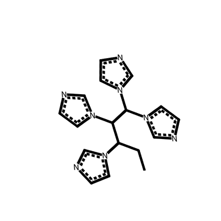 CCC(C(C(n1ccnc1)n1ccnc1)n1ccnc1)n1ccnc1